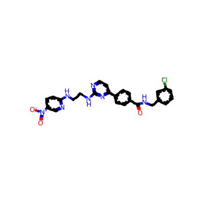 O=C(NCc1cccc(Cl)c1)c1ccc(-c2ccnc(NCCNc3ccc([N+](=O)[O-])cn3)n2)cc1